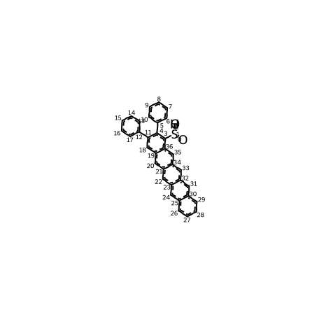 O=[SH](=O)c1c(-c2ccccc2)c(-c2ccccc2)cc2cc3cc4cc5ccccc5cc4cc3cc12